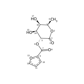 C[C@H]1OC(=O)[C@H](OC(=O)c2ccco2)[C@@H](O)[C@H]1O